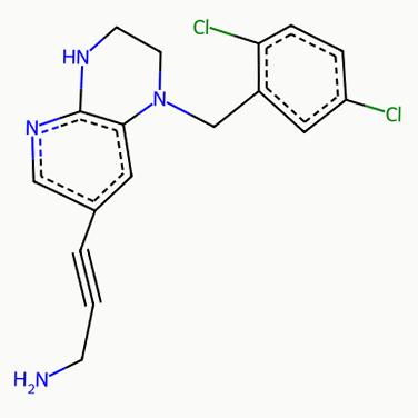 NCC#Cc1cnc2c(c1)N(Cc1cc(Cl)ccc1Cl)CCN2